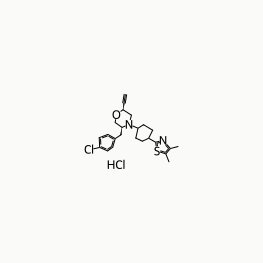 C#C[C@H]1CN(C2CCC(c3nc(C)c(C)s3)CC2)[C@@H](Cc2ccc(Cl)cc2)CO1.Cl